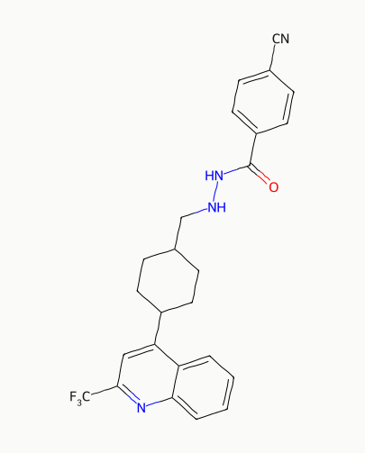 N#Cc1ccc(C(=O)NNCC2CCC(c3cc(C(F)(F)F)nc4ccccc34)CC2)cc1